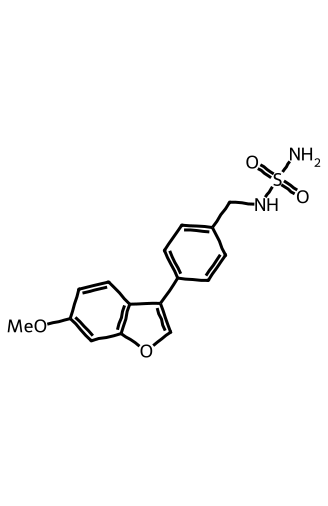 COc1ccc2c(-c3ccc(CNS(N)(=O)=O)cc3)coc2c1